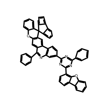 c1ccc(-c2nc(-c3ccc4c(c3)nc(-c3ccccc3)c3cc5c(cc34)C3(c4ccccc4O5)c4ccccc4-c4ccccc43)nc(-c3cccc4c3oc3ccccc34)n2)cc1